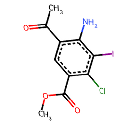 COC(=O)c1cc(C(C)=O)c(N)c(I)c1Cl